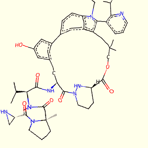 CCn1c(-c2cccnc2C(C)C)c2c3cc(ccc31)-c1cc(O)cc(c1)C[C@H](NC(=O)[C@H](C(C)C)N(C)C(=O)[C@@]1(C)CCCN1C(=O)[C@@H]1CN1)C(=O)N1CCC[C@H](N1)C(=O)OCC(C)(C)C2